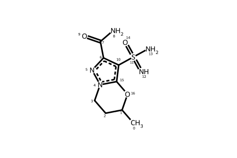 CC1CCn2nc(C(N)=O)c(S(=N)(N)=O)c2O1